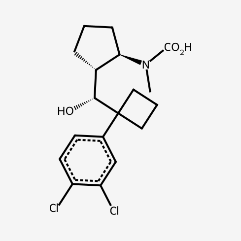 CN(C(=O)O)[C@@H]1CCC[C@H]1[C@@H](O)C1(c2ccc(Cl)c(Cl)c2)CCC1